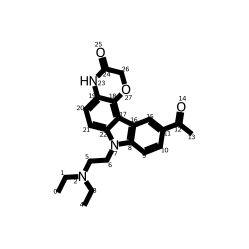 CCN(CC)CCn1c2ccc(C(C)=O)cc2c2c3c(ccc21)NC(=O)CO3